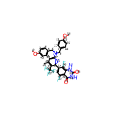 COc1ccc(CN(Cc2ccc(OC)cc2)c2cc(C)c(C(F)(F)F)c(-c3cc(F)c4c(=O)[nH]c(=O)[nH]c4c3F)n2)cc1